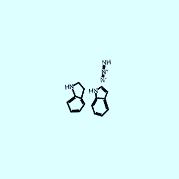 [N-]=[N+]=N.c1ccc2[nH]ccc2c1.c1ccc2c(c1)CCN2